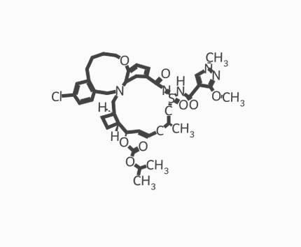 COc1nn(C)cc1C(=O)NS1(=O)=NC(=O)C2=CC=C3OCCCCc4cc(Cl)ccc4CN(C[C@@H]4CC[C@H]4[C@@H](OC(=O)OC(C)C)/C=C/C[C@H](C)C1)C3C2